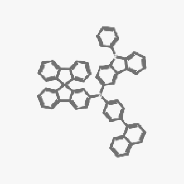 c1ccc(-n2c3ccccc3c3cc(N(c4ccc(-c5cccc6ccccc56)cc4)c4ccc5c(c4)C4(c6ccccc6-c6ccccc64)c4ccccc4-5)ccc32)cc1